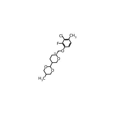 Cc1ccc(OC[C@@H]2CCC(C3OCC(C)CO3)CO2)c(F)c1Cl